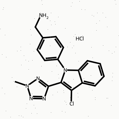 Cl.Cn1nnc(-c2c(Cl)c3ccccc3n2-c2ccc(CN)cc2)n1